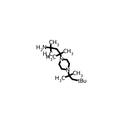 CC(C)(C)CC(C)(C)N1CCN(C(C)(C)CC(C)(C)N)CC1